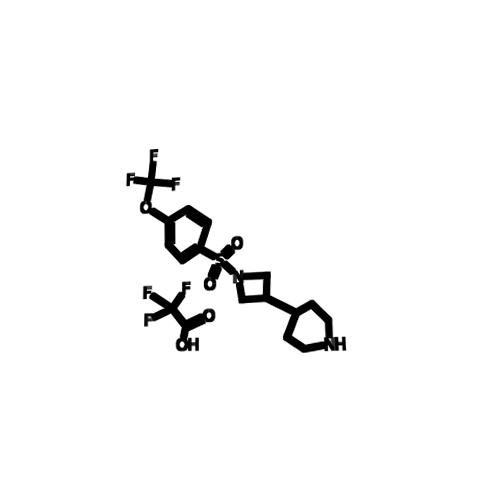 O=C(O)C(F)(F)F.O=S(=O)(c1ccc(OC(F)(F)F)cc1)N1CC(C2CCNCC2)C1